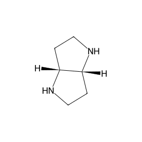 C1C[C@H]2NCC[C@H]2N1